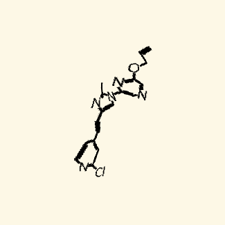 C=CCOc1cncc(-n2cc(C#Cc3ccnc(Cl)c3)nc2C)n1